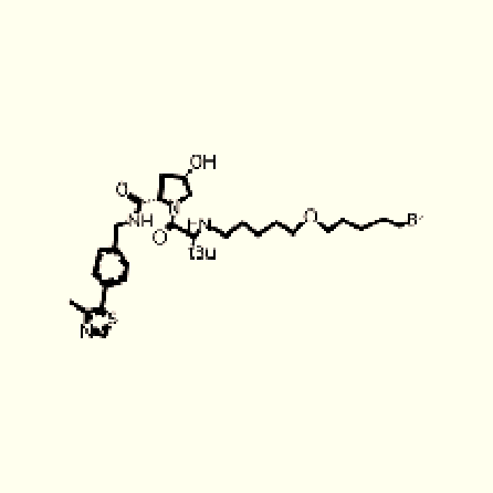 Cc1ncsc1-c1ccc(CNC(=O)[C@@H]2C[C@@H](O)CN2C(=O)[C@@H](NCCCCCOCCCCCBr)C(C)(C)C)cc1